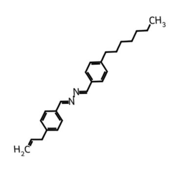 C=CCc1ccc(C=NN=Cc2ccc(CCCCCCC)cc2)cc1